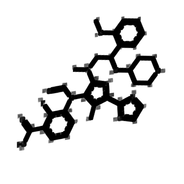 COc1ccccc1C(CN(C)c1sc(-c2ncco2)c(C)c1N(C=O)c1cccc(C(=O)O)c1F)OC1CCOCC1